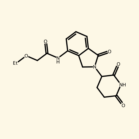 CCOCC(=O)Nc1cccc2c1CN(C1CCC(=O)NC1=O)C2=O